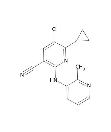 Cc1ncccc1Nc1nc(C2CC2)c(Cl)cc1C#N